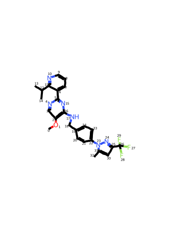 COc1cnc(-c2cccnc2C(C)C)nc1NCc1ccc(-n2nc(C(F)(F)F)cc2C)cc1